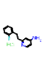 Cl.Nc1ccnc(CCc2ccccc2F)c1